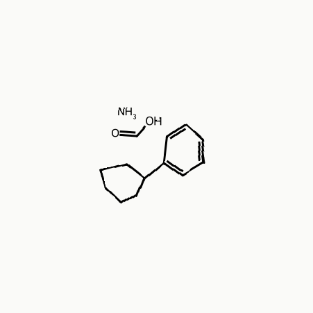 N.O=CO.c1ccc(C2CCCCC2)cc1